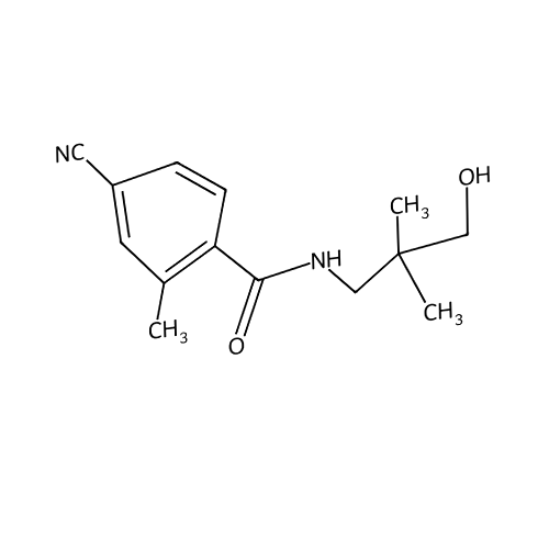 Cc1cc(C#N)ccc1C(=O)NCC(C)(C)CO